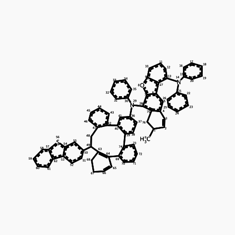 CC1C=Cc2cc3c(oc4cccc(N(c5ccccc5)c5ccccc5)c43)c(N(c3ccccc3)c3ccc4c(c3)-c3ccccc3CC(c3ccc5c(c3)sc3ccccc35)C3=C(C=CCC3)c3ccccc3-4)c2C1